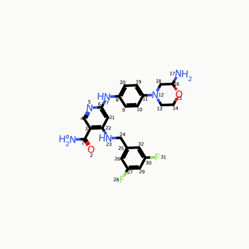 NC(=O)c1cnc(Nc2ccc(N3CCOC(N)C3)cc2)cc1NCc1cc(F)cc(F)c1